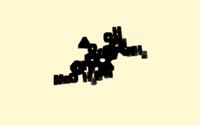 COC1CCN(c2cc(OC3CC3)c(C#N)c(-c3c(-c4ccc5c(=O)[nH]nc(CN)c5c4)cnn3C)c2F)C1